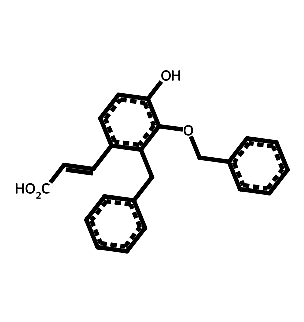 O=C(O)C=Cc1ccc(O)c(OCc2ccccc2)c1Cc1ccccc1